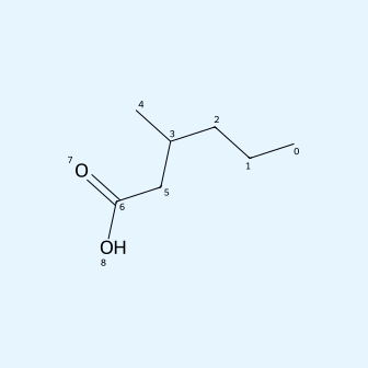 CCCC(C)CC(=O)O